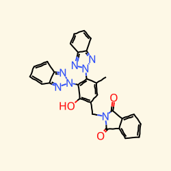 Cc1cc(CN2C(=O)c3ccccc3C2=O)c(O)c(-n2nc3ccccc3n2)c1-n1nc2ccccc2n1